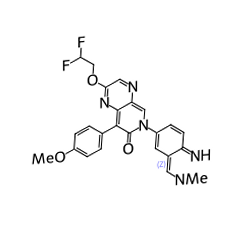 CN/C=C1/C=C(n2cc3ncc(OCC(F)F)nc3c(-c3ccc(OC)cc3)c2=O)C=CC1=N